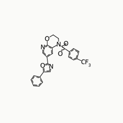 O=S(=O)(c1ccc(C(F)(F)F)cc1)N1CCOc2ncc(-c3ncc(-c4ccccc4)o3)cc21